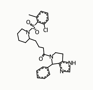 Cc1cccc(Cl)c1S(=O)(=O)N1CCCCC1CCCC(=O)N1CCc2[nH]cnc2C1c1ccccc1